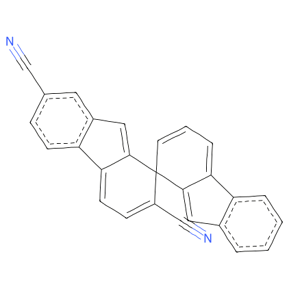 N#CC1=CC=C2C(=Cc3cc(C#N)ccc32)C12C=CC=C1C2=Cc2ccccc21